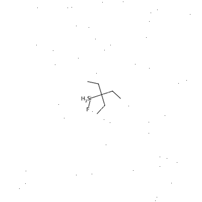 CCC(CC)(CC)[SiH2]F